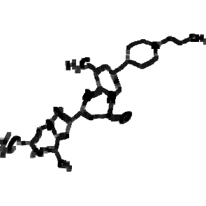 CCCN1CCC(c2cc(C)c3nc(-c4cc5c(C)nc(C)cn5n4)cc(=O)n3c2)CC1